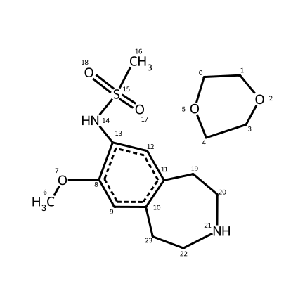 C1COCCO1.COc1cc2c(cc1NS(C)(=O)=O)CCNCC2